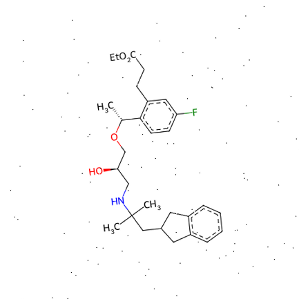 CCOC(=O)CCc1cc(F)ccc1[C@@H](C)OC[C@H](O)CNC(C)(C)CC1Cc2ccccc2C1